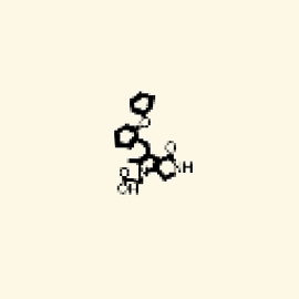 Cc1c(Cc2ccccc2Oc2ccccc2)c2c(n1CC(=O)O)CCNC2=O